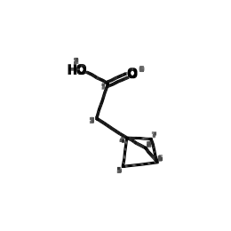 O=C(O)CC12CC(C1)C2